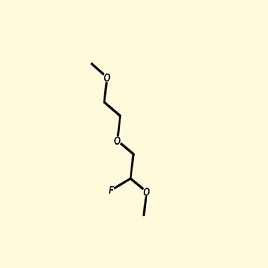 COCCOCC(F)OC